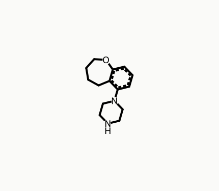 c1cc2c(c(N3CCNCC3)c1)CCCCO2